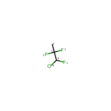 CC(F)(F)C(F)Cl